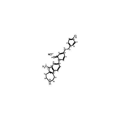 Cl.Cn1c2c(c3ccc(-n4ccc(OCc5ccc(Cl)cc5)cc4=O)nc31)CCNCC2